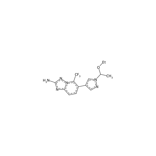 CCOC(C)n1cc(-c2ccc3nc(N)nn3c2C(F)(F)F)cn1